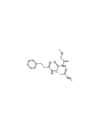 C=C(COC)NC(=O)[C@H](CC(N)=O)NC(=O)CCc1ccccc1